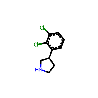 Clc1cccc(C2CCNC2)c1Cl